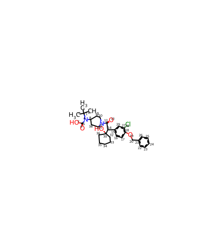 CC(C)(C)N(C(=O)O)C1CCN(C(=O)C(c2ccc(OCc3ccccc3)c(Cl)c2)C2(O)CCCCC2)CC1